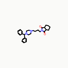 O=C1C2CCCCC2C(=O)N1CCCCN1CCN(C(c2ccccc2)c2ccccc2)CC1